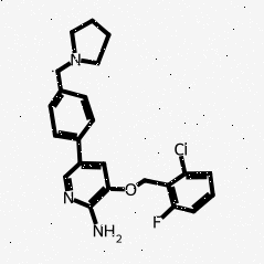 Nc1ncc(-c2ccc([CH]N3CCCC3)cc2)cc1OCc1c(F)cccc1Cl